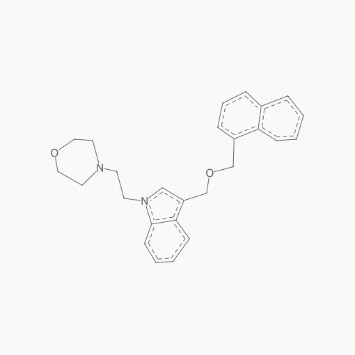 c1ccc2c(COCc3cn(CCN4CCOCC4)c4ccccc34)cccc2c1